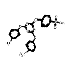 Cc1ccc(Oc2nc(Oc3ccc(C)cc3)nc(Oc3ccc(S(=O)(=O)O)cc3)n2)cc1